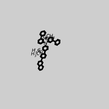 C[Si]1(C)c2cc(-c3ccc4ccccc4c3)ccc2-c2ccc(N(c3cccc(-c4ccccc4)c3)c3cccc4c3[Si](C)(C)c3ccccc3-4)cc21